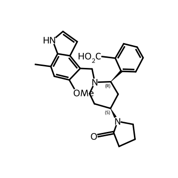 COc1cc(C)c2[nH]ccc2c1CN1CC[C@H](N2CCCC2=O)C[C@@H]1c1ccccc1C(=O)O